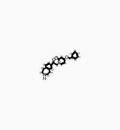 O=C(Cn1ccc(OCc2ccccc2)cc1=O)c1ccc2c(c1)CCNCC2